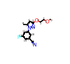 COCCOc1cc(C)n(-c2cc(F)cc(C#N)c2)n1